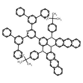 CC(C)(C)c1ccc(N2c3cc4cc5ccccc5cc4cc3B3c4cc5cc6ccccc6cc5cc4N(c4ccc(C(C)(C)C)cc4)c4cc(-c5cc(-c6cc(-c7ccccc7)cc(-c7ccccc7)c6)nc(-c6cc(-c7ccccc7)cc(-c7ccccc7)c6)c5)cc2c43)cc1